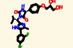 Cc1nc([C@H](C(C)C)N2C(=O)N[C@H](c3ccc(OC[C@H](O)CO)cc3)C2=O)[nH]c1-c1ccc(Br)cc1F